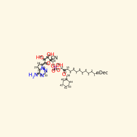 CCCCCCCCCCCCCCCCCCCC[C@H](COP(=O)(O)OC[C@@]1(C#N)O[C@@H](c2ccc3c(N)ncnn23)[C@H](O)[C@@H]1O)OCC1CCCCC1